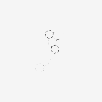 CC(C)c1cccc(C(=O)O)c1C(=O)c1ccc(OCCN2CCCCC2)cc1